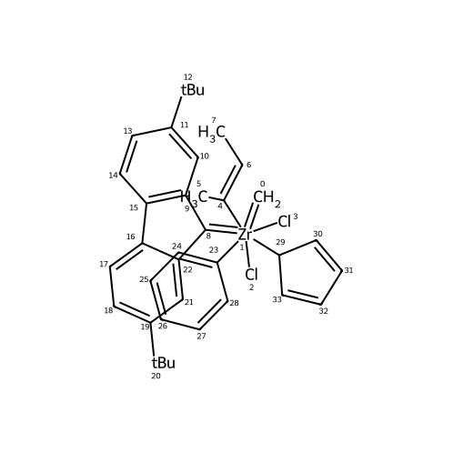 [CH2]=[Zr]([Cl])([Cl])([C](C)=CC)(=[C]1c2cc(C(C)(C)C)ccc2-c2ccc(C(C)(C)C)cc21)([c]1ccccc1)[CH]1C=CC=C1